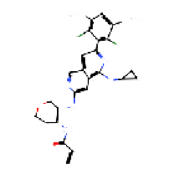 C=CC(=O)N[C@H]1CCOC[C@H]1Nc1cc2c(NC3CC3)nc(-c3c(Cl)c(OC)cc(OC)c3Cl)cc2cn1